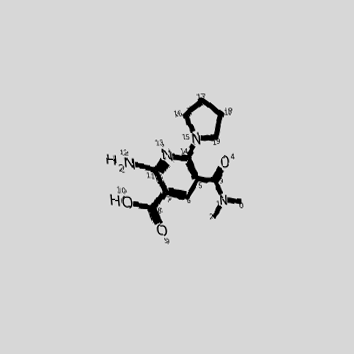 CN(C)C(=O)c1cc(C(=O)O)c(N)nc1N1CCCC1